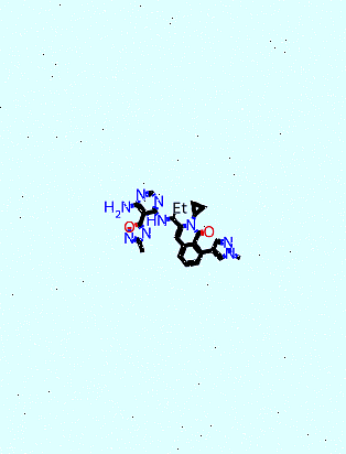 CC[C@H](Nc1ncnc(N)c1-c1nc(C)no1)c1cc2cccc(-c3cnn(C)c3)c2c(=O)n1C1CC1